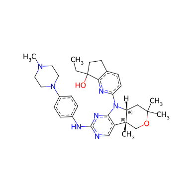 CCC1(O)CCc2ccc(N3c4nc(Nc5ccc(N6CCN(C)CC6)cc5)ncc4[C@@]4(C)COC(C)(C)C[C@@H]34)nc21